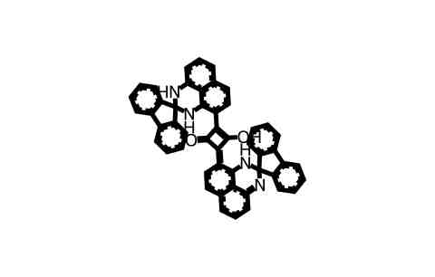 O=C1C(c2ccc3cccc4c3c2NC2(N4)c3ccccc3-c3ccccc32)=C(O)/C1=c1/ccc2cccc3c2c1NC1(N=3)c2ccccc2-c2ccccc21